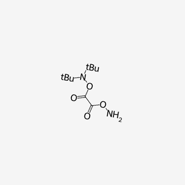 CC(C)(C)N(OC(=O)C(=O)ON)C(C)(C)C